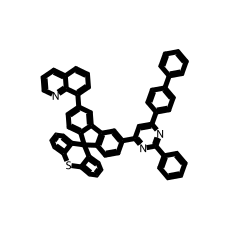 c1ccc(-c2ccc(-c3cc(-c4ccc5c(c4)-c4cc(-c6cccc7cccnc67)ccc4C54c5ccccc5Sc5ccccc54)nc(-c4ccccc4)n3)cc2)cc1